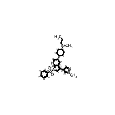 CCCN(C)[C@H]1CC[C@@H](c2cnc3c(c2)c(-c2cnn(C)c2)cn3S(=O)(=O)c2ccccc2)CC1